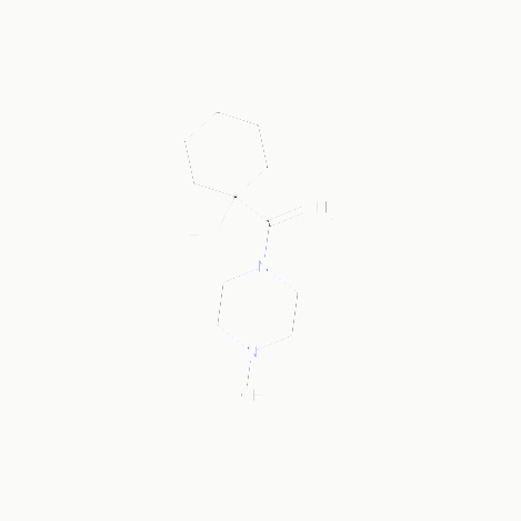 C=C(N1CCN(C)CC1)C1(C)CCCCC1